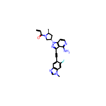 C=CC(=O)N1C[C@@H](n2nc(C#Cc3cc4ncn(C)c4cc3F)c3c(N)nccc32)C[C@@H]1C